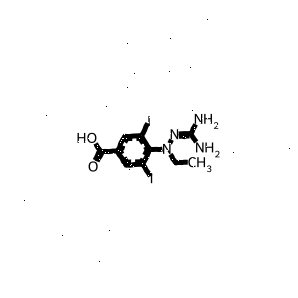 CCN(N=C(N)N)c1c(I)cc(C(=O)O)cc1I